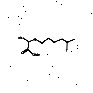 CCCCC(SCCCCC(C)F)C(=O)OC